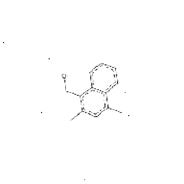 Cc1cc(C)c2ccccc2c1C[O]